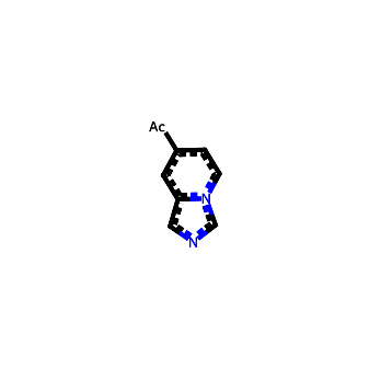 CC(=O)c1ccn2cncc2c1